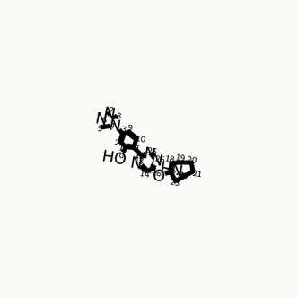 Oc1cc(-n2cnnc2)ccc1-c1ncc(OC2CC3CCC(C2)N3)nn1